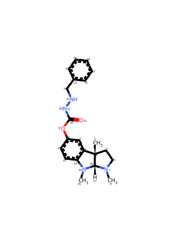 CN1CC[C@@]2(C)c3cc(OC(=O)NNCc4ccccc4)ccc3N(C)[C@@H]12